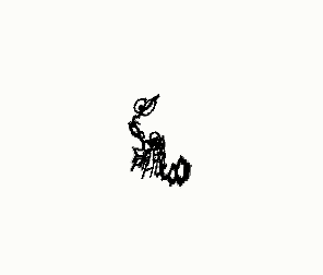 CCOC(=O)CCc1ccc(-c2cc(C(F)(F)F)cc(S(=O)(=O)N(C)C[C@H](O)CNC(C)(C)CC3Cc4ccccc4C3)c2)s1